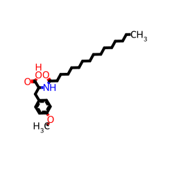 CCCCCCCCCCCCCCCC(=O)NC(Cc1ccc(OC)cc1)C(=O)O